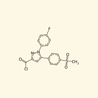 CS(=O)(=O)c1ccc(-c2cc(C(=O)Cl)nn2-c2ccc(F)cc2)cc1